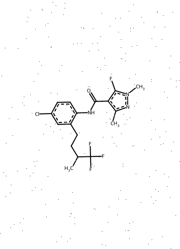 Cc1nn(C)c(F)c1C(=O)Nc1ccc(Cl)cc1CCC(C)C(F)(F)F